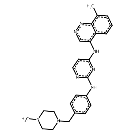 Cc1cccc2c(Nc3ccnc(Nc4ccc(CN5CCN(C)CC5)cc4)n3)cnnc12